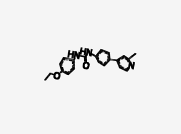 CCOc1ccc(NC(=O)Nc2ccc(-c3ccnc(C)c3)cc2)cc1